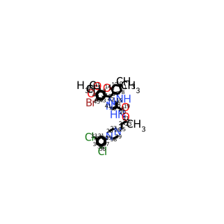 COc1cc(C2C3=C(CC(C)(C)CC3=O)Nc3c(C(=O)NOC(C)CCN4CCN(c5cc(Cl)cc(Cl)c5)CC4)cnn32)cc(Br)c1OC